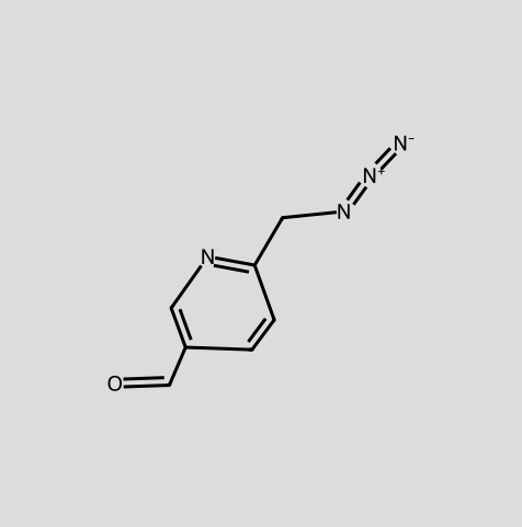 [N-]=[N+]=NCc1ccc(C=O)cn1